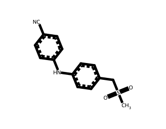 CS(=O)(=O)Cc1ccc(Nc2ccc(C#N)cc2)cc1